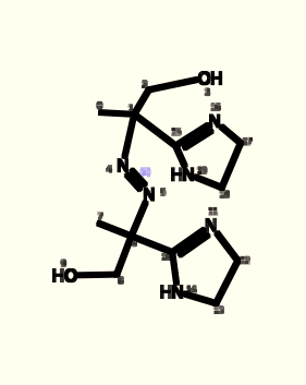 CC(CO)(/N=N/C(C)(CO)C1=NCCN1)C1=NCCN1